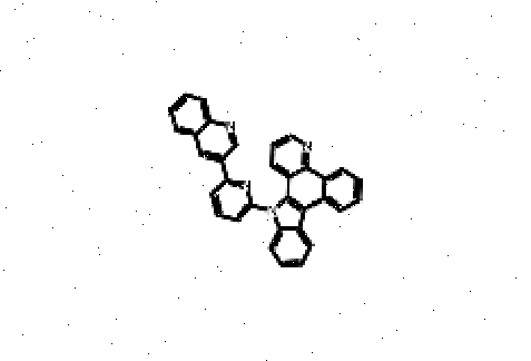 c1cc(-c2cnc3ccccc3c2)nc(-n2c3ccccc3c3c4ccccc4c4ncccc4c32)c1